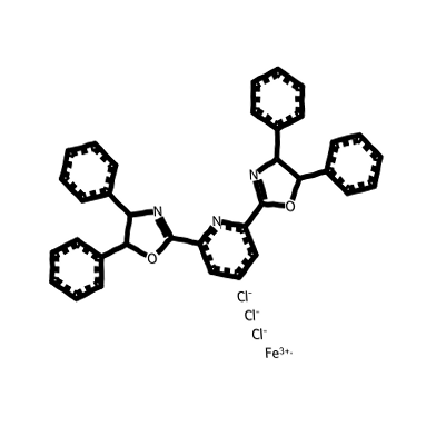 [Cl-].[Cl-].[Cl-].[Fe+3].c1ccc(C2N=C(c3cccc(C4=NC(c5ccccc5)C(c5ccccc5)O4)n3)OC2c2ccccc2)cc1